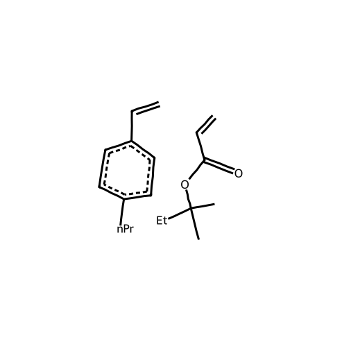 C=CC(=O)OC(C)(C)CC.C=Cc1ccc(CCC)cc1